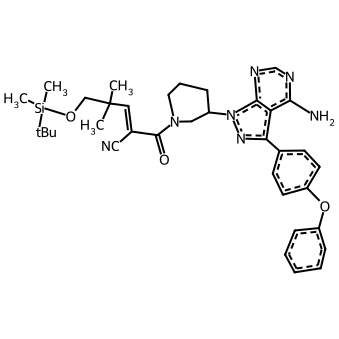 CC(C)(C=C(C#N)C(=O)N1CCCC(n2nc(-c3ccc(Oc4ccccc4)cc3)c3c(N)ncnc32)C1)CO[Si](C)(C)C(C)(C)C